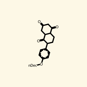 CCCCCCCCCCOc1ccc(C2CCC3C(=O)CC(=O)CC3C2=O)cc1